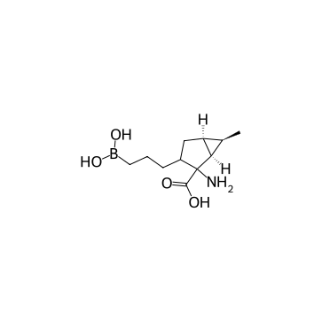 C[C@@H]1[C@@H]2CC(CCCB(O)O)C(N)(C(=O)O)[C@H]12